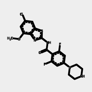 COc1cc(Cl)cc2sc(NC(=O)c3c(F)cc(N4CCNCC4)cc3F)nc12